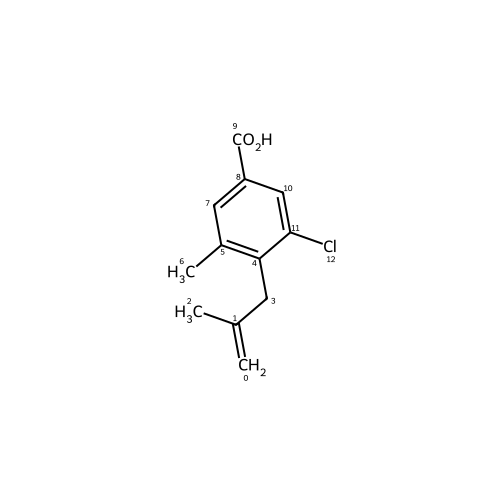 C=C(C)Cc1c(C)cc(C(=O)O)cc1Cl